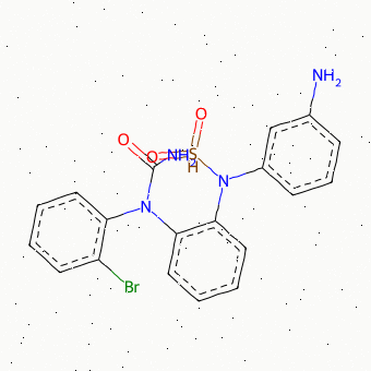 NC(=O)N(c1ccccc1Br)c1ccccc1N(c1cccc(N)c1)[SH](=O)=O